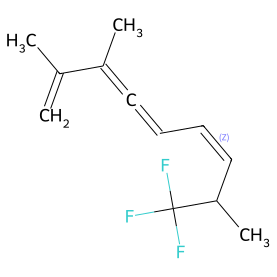 C=C(C)C(C)=C=C/C=C\C(C)C(F)(F)F